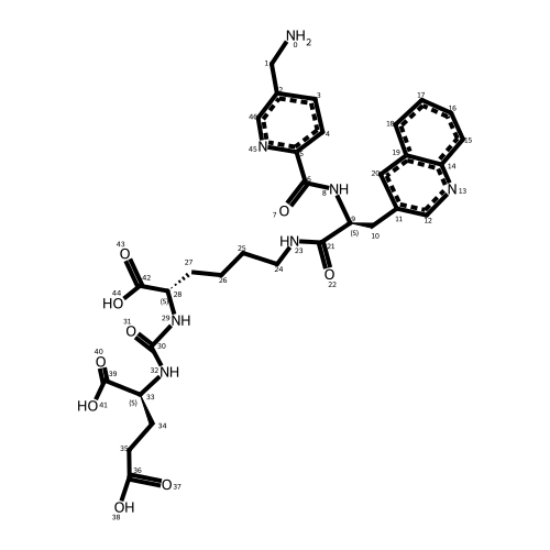 NCc1ccc(C(=O)N[C@@H](Cc2cnc3ccccc3c2)C(=O)NCCCC[C@H](NC(=O)N[C@@H](CCC(=O)O)C(=O)O)C(=O)O)nc1